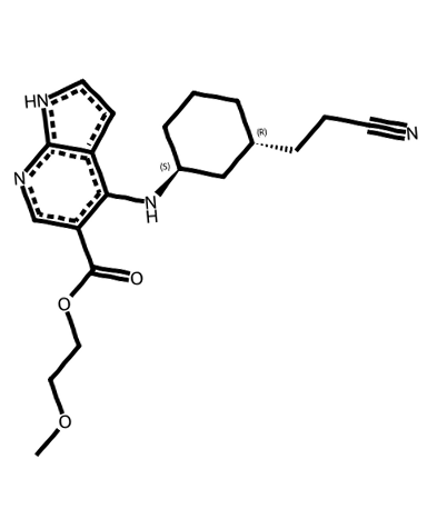 COCCOC(=O)c1cnc2[nH]ccc2c1N[C@H]1CCC[C@H](CCC#N)C1